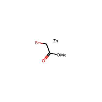 COC(=O)CBr.[Zn]